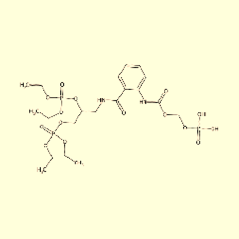 CCOP(=O)(OCC)OCC(CNC(=O)c1ccccc1NC(=O)OCOP(=O)(O)O)OP(=O)(OCC)OCC